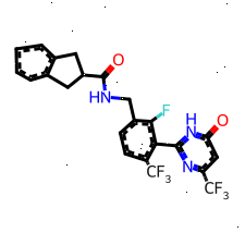 O=C(NCc1ccc(C(F)(F)F)c(-c2nc(C(F)(F)F)cc(=O)[nH]2)c1F)C1Cc2ccccc2C1